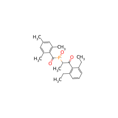 CCc1cccc(CC)c1C(=O)C(C)[P](=O)C(=O)c1c(C)cc(C)cc1C